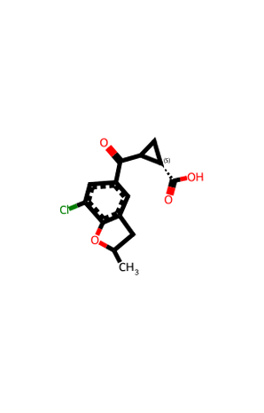 CC1Cc2cc(C(=O)C3C[C@@H]3C(=O)O)cc(Cl)c2O1